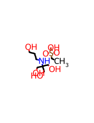 CCS(=O)(=O)O.OCCCNC(CO)(CO)CO